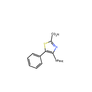 CCCCCc1nc(C(=O)O)sc1-c1ccccc1